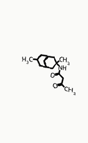 CC(=O)CC(=O)NC1(C)CC2CC(C)CC(C2)C1